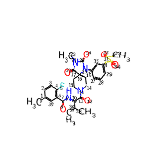 Cc1ccc(F)c(C(=O)N[C@@H](C(=O)N2CCC3(CC2)C(=O)N(C)C(=O)N3c2cccc(S(C)(=O)=O)c2)C(C)C)c1